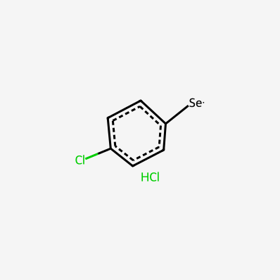 Cl.Clc1ccc([Se])cc1